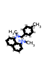 CNc1cccc2cccc(N(C)Cc3ccc(C)cc3)c12